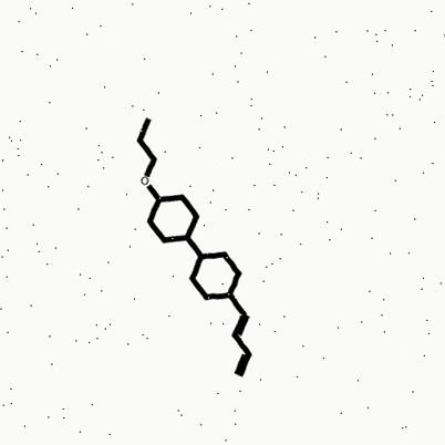 C=C/C=C/C1CCC(C2CCC(OCCC)CC2)CC1